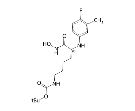 Cc1cc(N[C@H](CCCCNC(=O)OC(C)(C)C)C(=O)NO)ccc1F